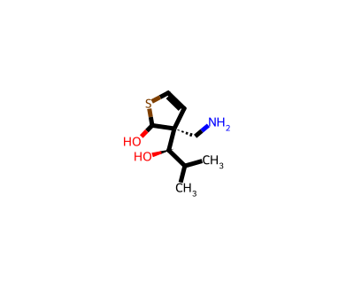 CC(C)[C@@H](O)[C@]1(CN)C=CSC1O